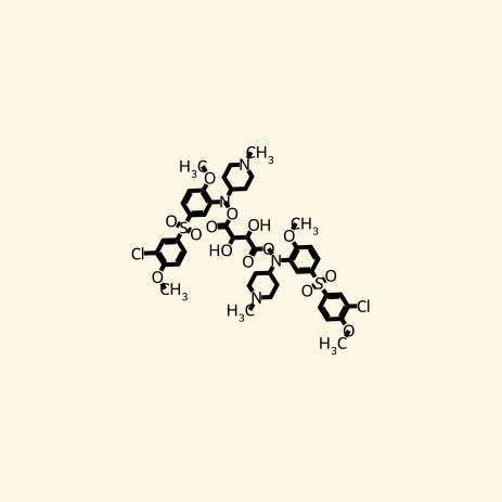 COc1ccc(S(=O)(=O)c2ccc(OC)c(N(OC(=O)C(O)C(O)C(=O)ON(c3cc(S(=O)(=O)c4ccc(OC)c(Cl)c4)ccc3OC)C3CCN(C)CC3)C3CCN(C)CC3)c2)cc1Cl